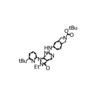 CCn1c(=O)c2cnc(Nc3ccc4c(c3)CN(C(=O)OC(C)(C)C)C4)nc2n1-c1cccc(C(C)(C)C)n1